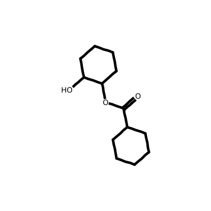 O=C(OC1CCCCC1O)C1CCCCC1